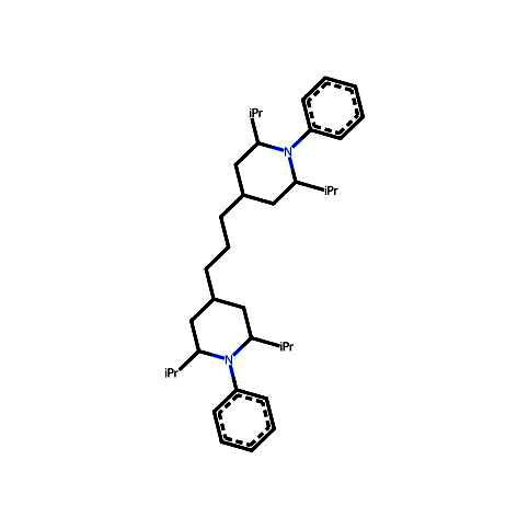 CC(C)C1CC(CCCC2CC(C(C)C)N(c3ccccc3)C(C(C)C)C2)CC(C(C)C)N1c1ccccc1